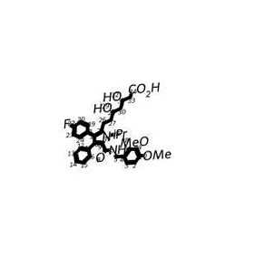 COc1ccc(CNC(=O)c2c(-c3ccccc3)c(-c3ccc(F)cc3)c(CCC(O)CC(O)CC(=O)O)n2C(C)C)c(OC)c1